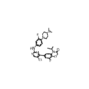 CC(C)N1C(=O)COc2c(F)cc(-c3nc(Nc4ccc(N5CCC(N(C)C)CC5)c(F)c4)ncc3Cl)cc21